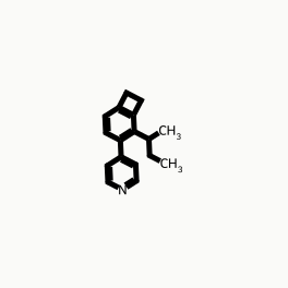 CCC(C)c1c(-c2ccncc2)ccc2c1CC2